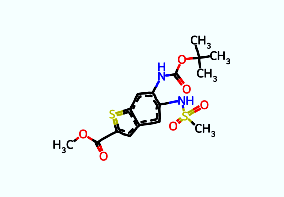 COC(=O)c1cc2cc(NS(C)(=O)=O)c(NC(=O)OC(C)(C)C)cc2s1